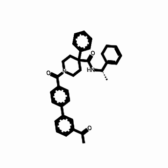 CC(=O)c1cccc(-c2ccc(C(=O)N3CCC(C(=O)N[C@@H](C)C4=CC=CCC4)(c4ccccc4)CC3)cc2)c1